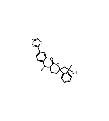 C[C@@H](c1ccc(-c2nnco2)cc1)N1CCC(CC(C)(C)O)(c2ccccc2)OC1=O